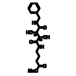 COC(=O)CCCNC(=O)[C@H](O)[C@@H](O)C(=O)NCc1ccccc1